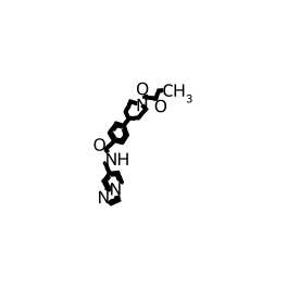 CCC(=O)C(=O)N1CCC(c2ccc(C(=O)NCc3ccn4ccnc4c3)cc2)CC1